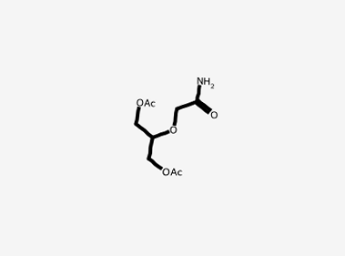 CC(=O)OCC(COC(C)=O)OCC(N)=O